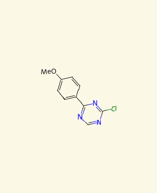 COc1ccc(-c2ncnc(Cl)n2)cc1